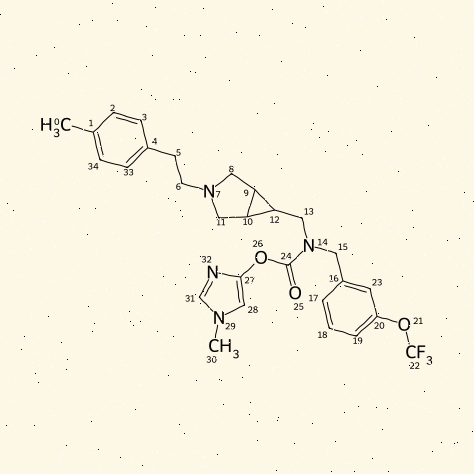 Cc1ccc(CCN2CC3C(C2)C3CN(Cc2cccc(OC(F)(F)F)c2)C(=O)Oc2cn(C)cn2)cc1